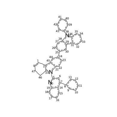 C1=Cc2c(n(-c3cc(-c4ccccc4)c4ccccc4n3)c3ccc(-c4ccc5c(c4)c4ccccc4n5-c4ccccc4)cc23)CC1